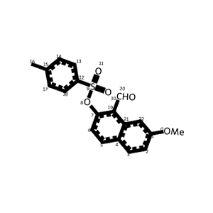 COc1ccc2ccc(OS(=O)(=O)c3ccc(C)cc3)c(C=O)c2c1